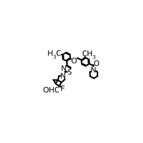 Cc1ccc(OCc2ccc(C(=O)N3CCCCC3)cc2C)c(-c2csc(N3CC4C(F)(C=O)C5CC45C3)n2)c1